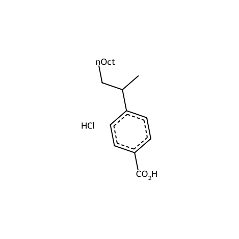 CCCCCCCCCC(C)c1ccc(C(=O)O)cc1.Cl